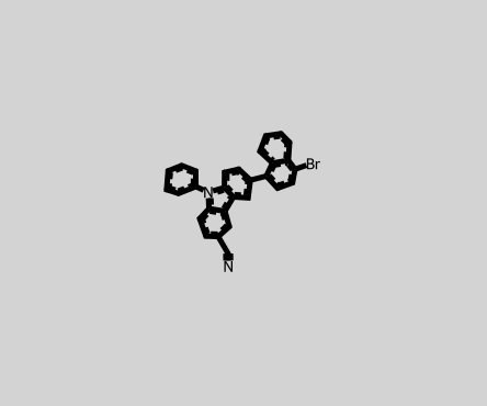 N#Cc1ccc2c(c1)c1cc(-c3ccc(Br)c4ccccc34)ccc1n2-c1ccccc1